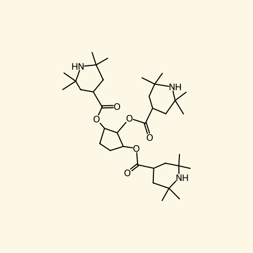 CC1(C)CC(C(=O)OC2CCC(OC(=O)C3CC(C)(C)NC(C)(C)C3)C2OC(=O)C2CC(C)(C)NC(C)(C)C2)CC(C)(C)N1